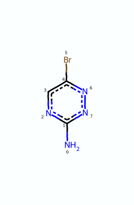 Nc1ncc(Br)nn1